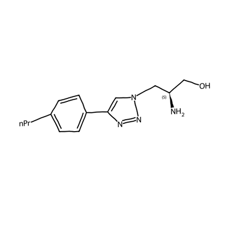 CCCc1ccc(-c2cn(C[C@H](N)CO)nn2)cc1